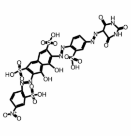 O=C1NC(=O)C(/N=N/c2ccc(/N=N/c3c(S(=O)(=O)O)cc4cc(S(=O)(=O)O)c(/N=N/c5ccc([N+](=O)[O-])cc5S(=O)(=O)O)c(O)c4c3O)c(S(=O)(=O)O)c2)C(=O)N1